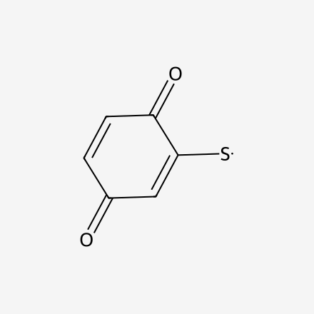 O=C1C=CC(=O)C([S])=C1